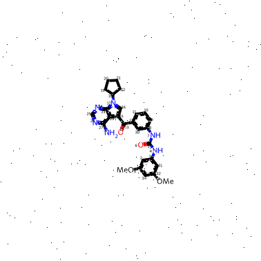 COc1cc(NC(=O)Nc2cccc(C(=O)c3cn(C4CCCC4)c4ncnc(N)c34)c2)cc(OC)c1